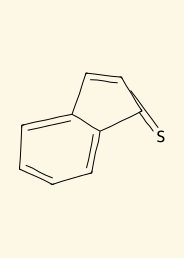 S=C1C=Cc2ccccc21